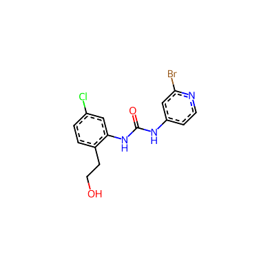 O=C(Nc1ccnc(Br)c1)Nc1cc(Cl)ccc1CCO